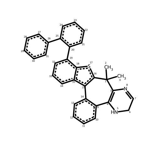 CC1(C)C2=C(NCC=N2)c2ccccc2-c2c1sc1c(-c3ccccc3-c3ccccc3)cccc21